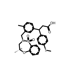 CSc1ccc(C(CC(=O)O)c2ccc(C)c(CN3C[C@@H](C)Oc4ccccc4S3(=O)=O)c2)cc1